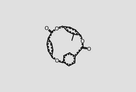 Cc1cc2ccc1oc(=O)c1ccc(cc1)oc1ccc(cc1)c(=O)o2